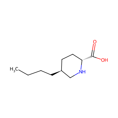 CCCC[C@H]1CC[C@H](C(=O)O)NC1